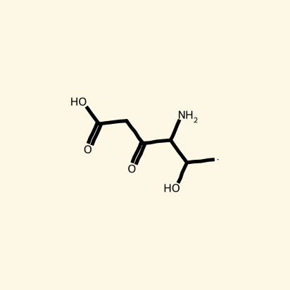 [CH2]C(O)C(N)C(=O)CC(=O)O